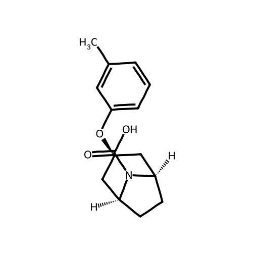 Cc1cccc(O[C@H]2C[C@H]3CC[C@@H](C2)N3C(=O)O)c1